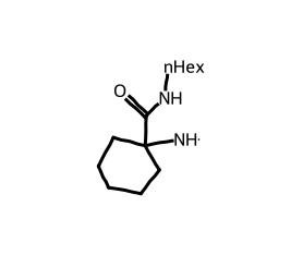 CCCCCCNC(=O)C1([NH])CCCCC1